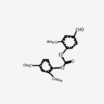 COc1cc(C=O)ccc1OC(=O)Oc1ccc(C=O)cc1OC